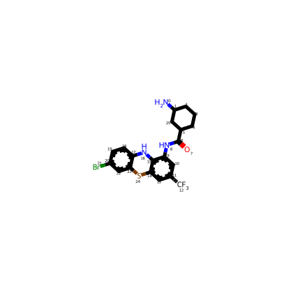 NC1CCCC(C(=O)Nc2cc(C(F)(F)F)cc3c2Nc2ccc(Br)cc2S3)C1